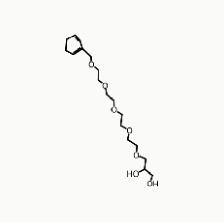 OCC(O)COCCOCCOCCOCCOCC1=CCCC=C1